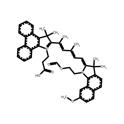 COc1ccc2ccc3c(c2c1)N(CCOC=O)\C(=C/C=C(C)/C=C(\C)C1=[N+](CCC(=O)O)c2c(c4ccccc4c4ccccc24)C1(C)C)C3(C)C